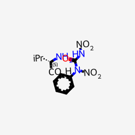 CC(C)[C@H](N)C(=O)O.O=C(N[N+](=O)[O-])N(c1ccccc1)[N+](=O)[O-]